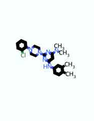 Cc1ccc(Nc2cc(N(C)C)nc(N3CCN(c4ccccc4Cl)CC3)n2)cc1C